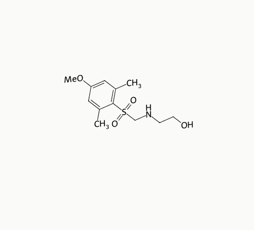 COc1cc(C)c(S(=O)(=O)CNCCO)c(C)c1